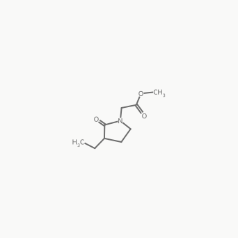 CCC1CCN(CC(=O)OC)C1=O